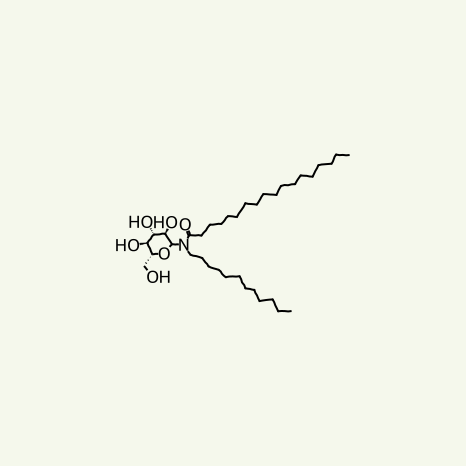 CCCCCCCCCCCCCCCCCC(=O)N(CCCCCCCCCCCC)C1O[C@H](CO)[C@@H](O)[C@H](O)[C@H]1O